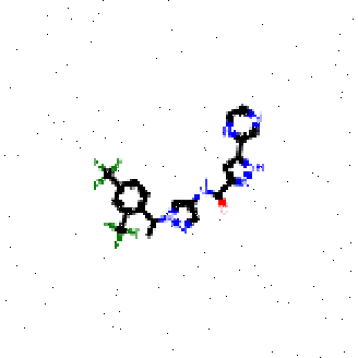 CC(c1ccc(C(F)(F)F)cc1C(F)(F)F)n1cc(NC(=O)c2cc(-c3cnccn3)[nH]n2)cn1